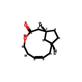 O=C1C[C@@H]2CC[C@H](C/C=C\CCO1)C2